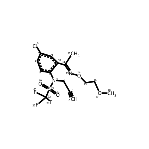 C#CCN(c1ccc(Cl)cc1/C(C)=N/OCCOC)S(=O)(=O)C(F)(F)F